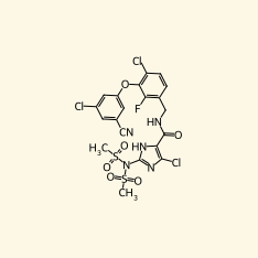 CS(=O)(=O)N(c1nc(Cl)c(C(=O)NCc2ccc(Cl)c(Oc3cc(Cl)cc(C#N)c3)c2F)[nH]1)S(C)(=O)=O